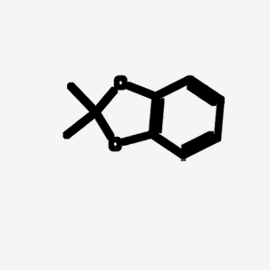 CC1(C)Oc2[c]cccc2O1